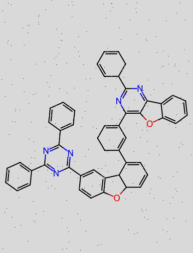 C1=CCC(c2nc(C3=CCCC(C4=CC=CC5Oc6ccc(-c7nc(-c8ccccc8)nc(-c8ccccc8)n7)cc6C45)=C3)c3oc4ccccc4c3n2)C=C1